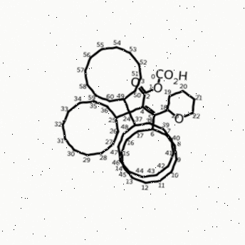 O=C(O)OC(=O)C(=C(C1CCCCCCCCCCC1)C1CCCCO1)C(C1CCCCCCCCCCC1)(C1CCCCCCCCCCC1)C1CCCCCCCCCCC1